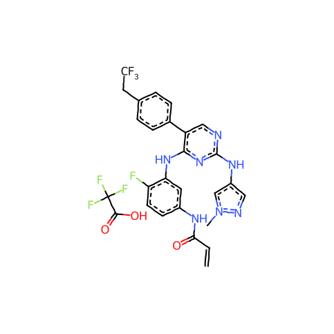 C=CC(=O)Nc1ccc(F)c(Nc2nc(Nc3cnn(C)c3)ncc2-c2ccc(CC(F)(F)F)cc2)c1.O=C(O)C(F)(F)F